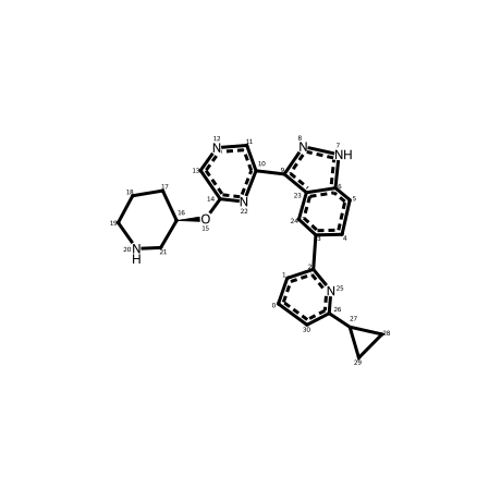 c1cc(-c2ccc3[nH]nc(-c4cncc(O[C@@H]5CCCNC5)n4)c3c2)nc(C2CC2)c1